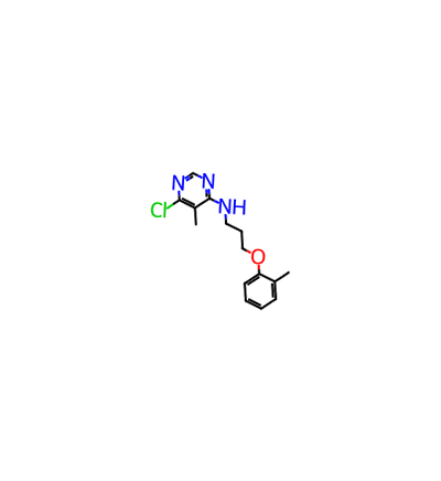 Cc1ccccc1OCCCNc1ncnc(Cl)c1C